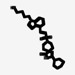 O=C1NC(C2CCCCC2)=NC12CCN(S(=O)(=O)/C=C/c1cccc3c1ccn3CCCCO)CC2